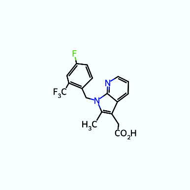 Cc1c(CC(=O)O)c2cccnc2n1Cc1ccc(F)cc1C(F)(F)F